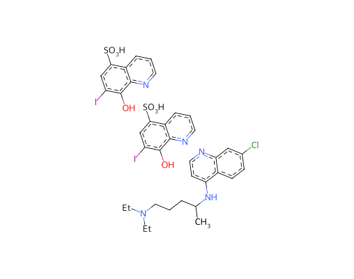 CCN(CC)CCCC(C)Nc1ccnc2cc(Cl)ccc12.O=S(=O)(O)c1cc(I)c(O)c2ncccc12.O=S(=O)(O)c1cc(I)c(O)c2ncccc12